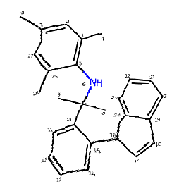 Cc1cc(C)c(NC(C)(C)c2ccccc2C2C=Cc3ccccc32)c(C)c1